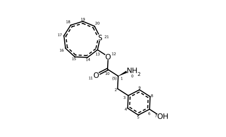 N[C@@H](Cc1ccc(O)cc1)C(=O)Oc1cccccccs1